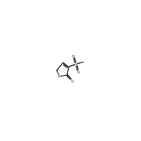 CS(=O)(=O)C1=CCOC1=O